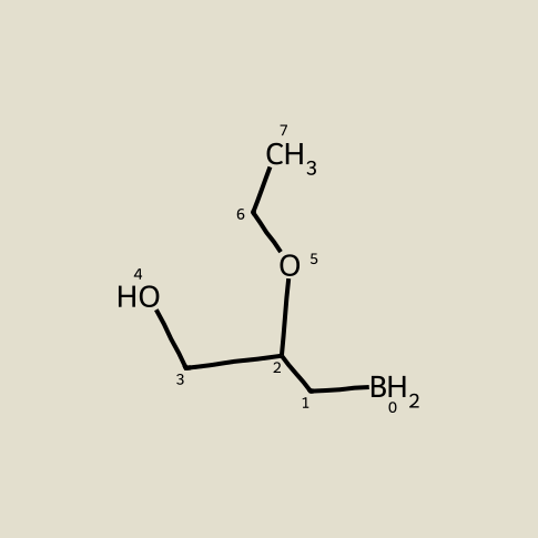 BCC(CO)OCC